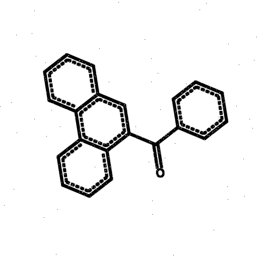 O=C(c1ccccc1)c1cc2ccccc2c2ccccc12